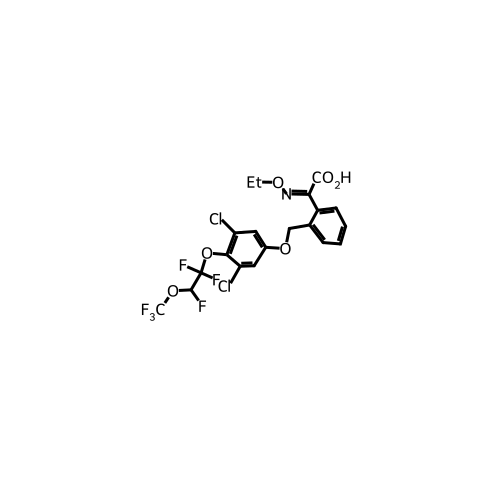 CCON=C(C(=O)O)c1ccccc1COc1cc(Cl)c(OC(F)(F)C(F)OC(F)(F)F)c(Cl)c1